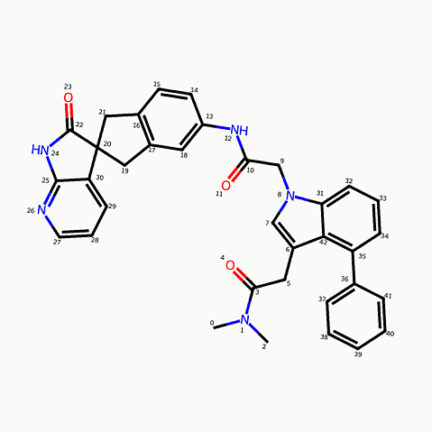 CN(C)C(=O)Cc1cn(CC(=O)Nc2ccc3c(c2)CC2(C3)C(=O)Nc3ncccc32)c2cccc(-c3ccccc3)c12